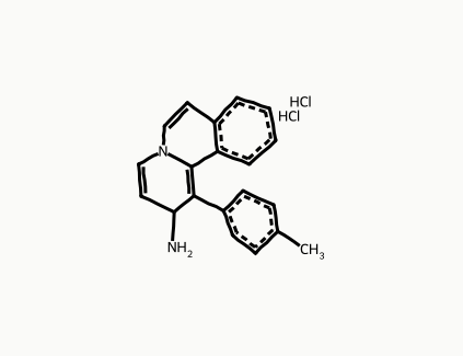 Cc1ccc(C2=C3c4ccccc4C=CN3C=CC2N)cc1.Cl.Cl